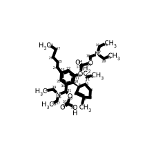 C=C(C)[C@@H]1CCC(C)=C[C@H]1c1c(OC(=O)OCN(CC)CC)cc(CCCCC)cc1C(OC(=O)O)N(CC)CC